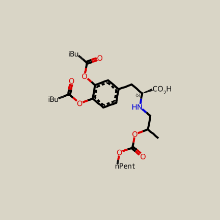 CCCCCOC(=O)OC(C)CN[C@@H](Cc1ccc(OC(=O)C(C)CC)c(OC(=O)C(C)CC)c1)C(=O)O